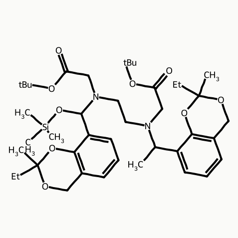 CCC1(C)OCc2cccc(C(C)N(CCN(CC(=O)OC(C)(C)C)C(O[Si](C)(C)C)c3cccc4c3OC(C)(CC)OC4)CC(=O)OC(C)(C)C)c2O1